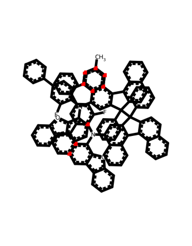 Cc1cccc(-c2cc(-c3ccccc3)cc(F)c2N(c2cc3c(c4ccccc24)-c2c(ccc4ccccc24)C3(c2ccccc2)C2(c3ccccc3)c3ccc4ccccc4c3-c3c2cc(N(c2c(F)cc(-c4ccccc4)cc2-c2ccccc2)c2cccc4c2oc2ccccc24)c2ccccc32)c2cccc3c2oc2ccccc23)c1